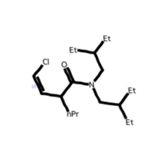 CCCC(/C=C\Cl)C(=O)N(CC(CC)CC)CC(CC)CC